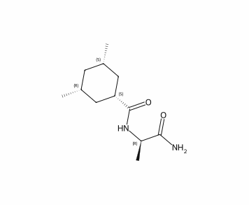 C[C@@H]1C[C@H](C)C[C@H](C(=O)N[C@H](C)C(N)=O)C1